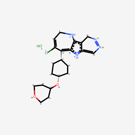 Cl.ClC1=CCNc2c3c([nH]c2=C1[C@H]1CC[C@@H](OC2CCOCC2)CC1)=CN=NC3